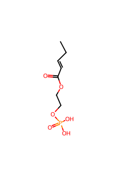 CCC=CC(=O)OCCOP(=O)(O)O